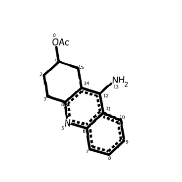 CC(=O)OC1CCc2nc3ccccc3c(N)c2C1